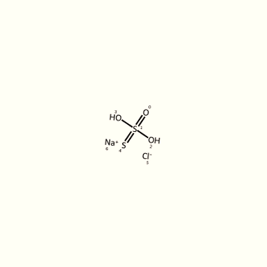 O=S(O)(O)=S.[Cl-].[Na+]